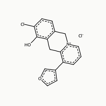 Oc1c(Cl)ccc2c1Cc1c(-c3ccoc3)ccc[n+]1C2.[Cl-]